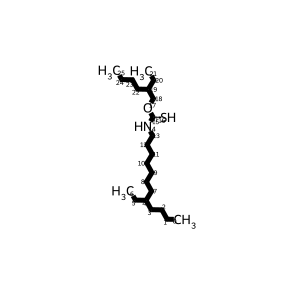 CCCCC(CC)CCCCCCCN[C@@H](S)OCC(CC)CCCC